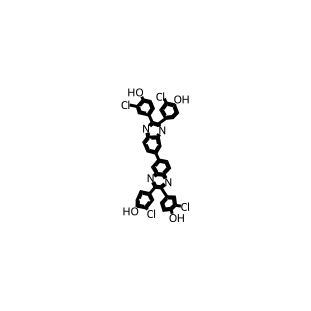 Oc1ccc(-c2nc3ccc(-c4ccc5nc(-c6ccc(O)c(Cl)c6)c(-c6ccc(O)c(Cl)c6)nc5c4)cc3nc2-c2ccc(O)c(Cl)c2)cc1Cl